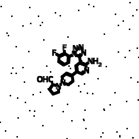 Nc1ncc(C2=CCN(N3CCC[C@H]3C=O)CC2)cc1-c1nnnn1-c1cccc(F)c1F